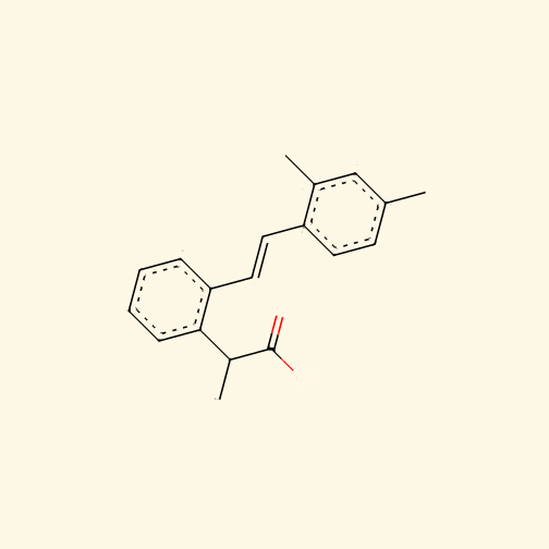 Cc1ccc(C=Cc2ccccc2C(C)C(=O)O)c(C)c1